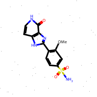 COc1cc(S(N)(=O)=O)ccc1-c1nc2c(=O)[nH]ccc2[nH]1